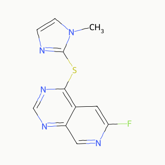 Cn1ccnc1Sc1ncnc2cnc(F)cc12